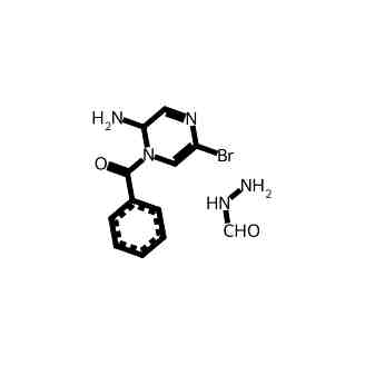 NC1C=NC(Br)=CN1C(=O)c1ccccc1.NNC=O